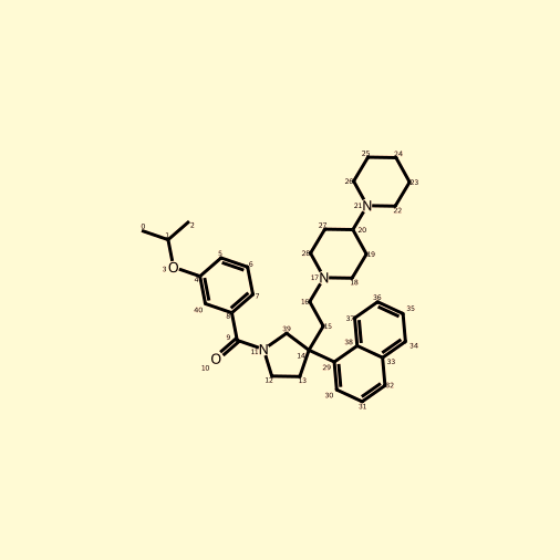 CC(C)Oc1cccc(C(=O)N2CCC(CCN3CCC(N4CCCCC4)CC3)(c3cccc4ccccc34)C2)c1